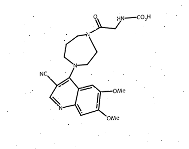 COc1cc2ncc(C#N)c(N3CCCN(C(=O)CNC(=O)O)CC3)c2cc1OC